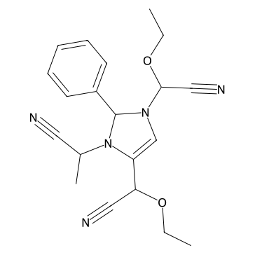 CCOC(C#N)C1=CN(C(C#N)OCC)C(c2ccccc2)N1C(C)C#N